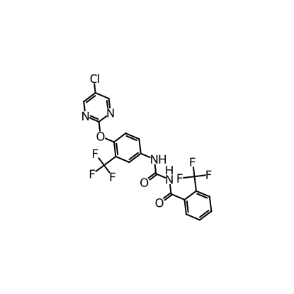 O=C(NC(=O)c1ccccc1C(F)(F)F)Nc1ccc(Oc2ncc(Cl)cn2)c(C(F)(F)F)c1